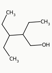 CCC(CC)C(CC)CO